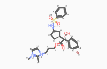 Cc1n(CCCOC(=O)[C@](O)(c2ccccc2)[C@H]2CCC(NS(=O)(=O)c3ccccc3)C2)cc[n+]1C.[Br-]